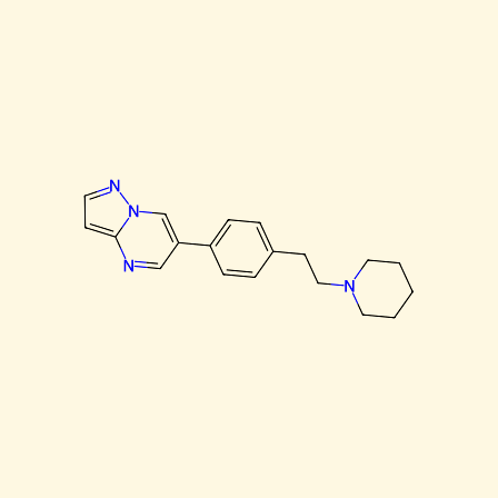 c1cc2ncc(-c3ccc(CCN4CCCCC4)cc3)cn2n1